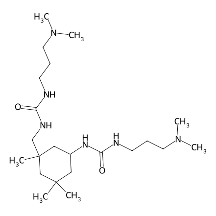 CN(C)CCCNC(=O)NCC1(C)CC(NC(=O)NCCCN(C)C)CC(C)(C)C1